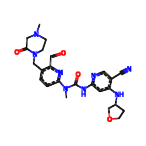 CN1CCN(Cc2ccc(N(C)C(=O)Nc3cc(NC4CCOC4)c(C#N)cn3)nc2C=O)C(=O)C1